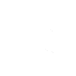 Cc1ccc(S(=O)(=O)n2cccc2-c2cnn(CC3COC3)c2)cc1